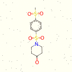 CS(=O)(=O)c1ccc(S(=O)(=O)N2CCC(=O)CC2)cc1